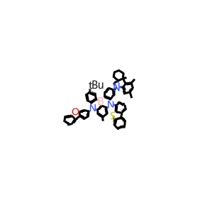 Cc1cc2c3c(c1)N(c1cccc4c1sc1ccccc14)c1cc(N4c5cc(C)cc(C)c5C5(C)CCCCC45C)ccc1B3c1cc(C(C)(C)C)ccc1N2c1ccc2c(c1)oc1ccccc12